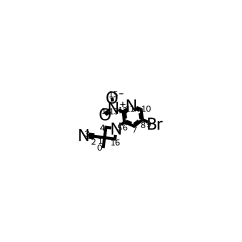 CC1(C#N)CN(c2cc(Br)cnc2[N+](=O)[O-])C1